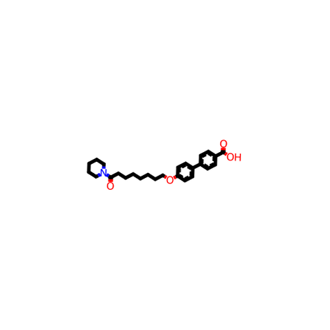 O=C(O)c1ccc(-c2ccc(OCCCCCCCC(=O)N3CCCCC3)cc2)cc1